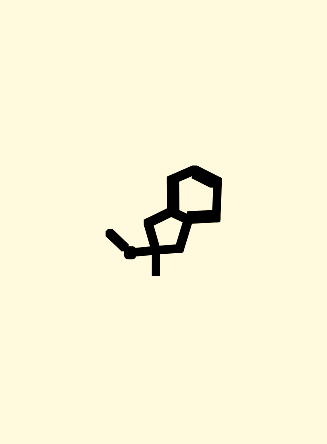 COC1(C)Cc2ccccc2C1